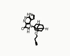 C#CCCOC12C[C@H]3C[C@@H](C1)CC(n1[nH]c(=O)c4nnc5[nH]ccc5c41)(C3)C2